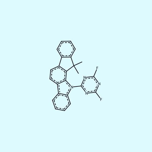 CC1(C)c2ccccc2-c2ccc3c4ccccc4n(-c4nc(F)nc(F)n4)c3c21